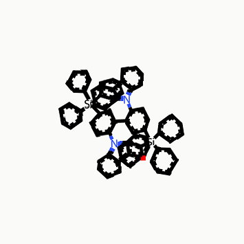 c1ccc([Si](c2ccccc2)(c2ccccc2)c2ccc(-n3c4ccccc4c4ccccc43)c(-c3cc([Si](c4ccccc4)(c4ccccc4)c4ccccc4)ccc3-n3c4ccccc4c4ccccc43)c2)cc1